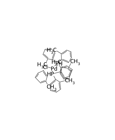 Cc1ccccc1[PH](c1ccccc1C)(c1ccccc1C)[Pd]([Cl])[PH](c1ccccc1C)(c1ccccc1C)c1ccccc1C